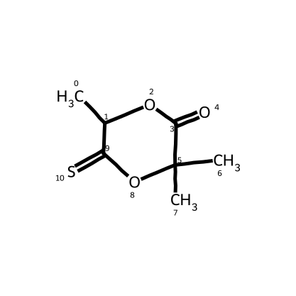 CC1OC(=O)C(C)(C)OC1=S